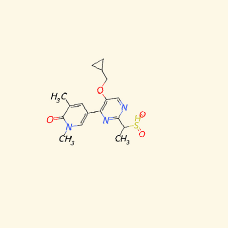 Cc1cc(-c2nc(C(C)[SH](=O)=O)ncc2OCC2CC2)cn(C)c1=O